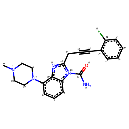 CN1CCN(c2cccc3c2nc(CC#Cc2ccccc2F)n3C(N)=O)CC1